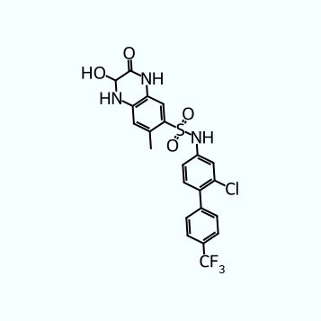 Cc1cc2c(cc1S(=O)(=O)Nc1ccc(-c3ccc(C(F)(F)F)cc3)c(Cl)c1)NC(=O)C(O)N2